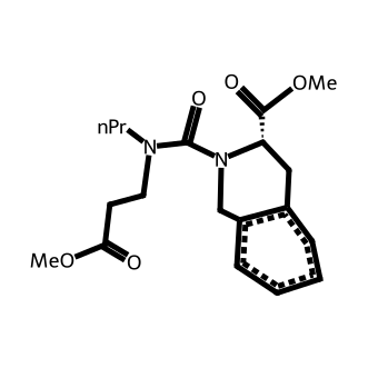 CCCN(CCC(=O)OC)C(=O)N1Cc2ccccc2C[C@H]1C(=O)OC